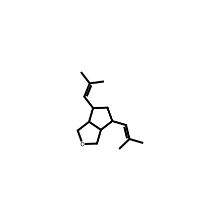 CC(C)=CC1CC(C=C(C)C)C2COCC12